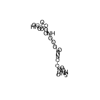 O=C(COc1cccc2c1C(=O)C(C1CCC(=O)NC1=O)C2=O)NCCOCCOCCOCCC(=O)N1CCN(c2ccc(-c3ccc4c(c3)C(=O)N(C(C(=O)Nc3nccs3)c3ccccc3)C4)cc2)CC1